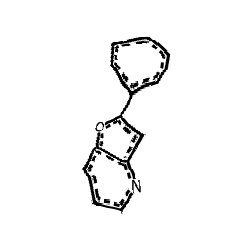 [c]1ccc2oc(-c3ccccc3)cc2n1